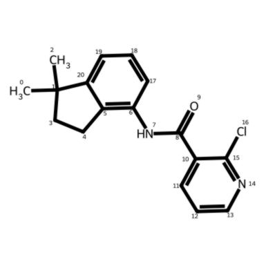 CC1(C)CCc2c(NC(=O)c3cccnc3Cl)cccc21